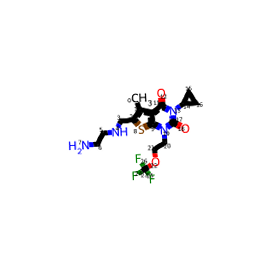 Cc1c(CNCCN)sc2c1c(=O)n(C1CC1)c(=O)n2CCOC(F)(F)F